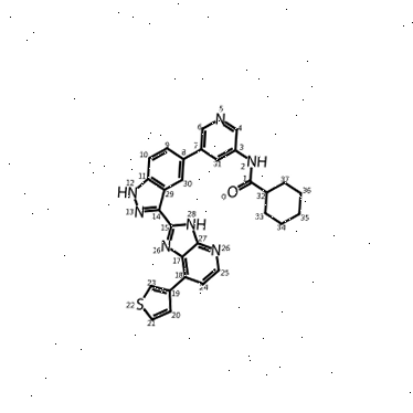 O=C(Nc1cncc(-c2ccc3[nH]nc(-c4nc5c(-c6ccsc6)ccnc5[nH]4)c3c2)c1)C1CCCCC1